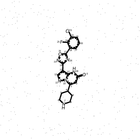 O=c1cc(C2CCNCC2)n2ncc(-c3noc(-c4cccc(Cl)c4F)n3)c2[nH]1